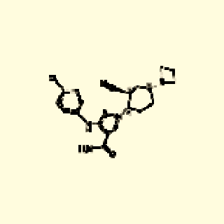 N#C[C@H]1C[C@H](N2CCC2)CC[C@@H]1n1cc(C(N)=O)c(Nc2ccc(Cl)cc2)n1